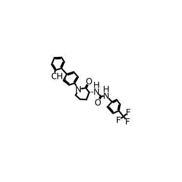 Cc1ccccc1-c1ccc(N2CCC[C@@H](NC(=O)Nc3ccc(C(F)(F)F)cc3)C2=O)cc1